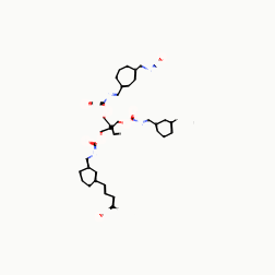 CCC(COC(=O)NCC1CCCC(C)C1)(COC(=O)NCC1CCCC(CCCC(C)=C=O)C1)COC(=C=O)NCC1CCCC(CN=C=O)CC1